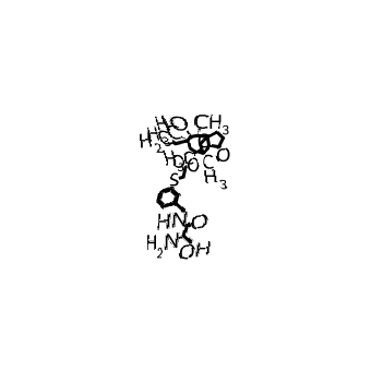 C=C[C@]1(C)C[C@@H](OC(=O)CSc2cccc(CNC(=O)[C@H](N)CO)c2)[C@]2(C)C(C)CCC3(CCC(=O)C32)[C@@H](C)[C@@H]1O